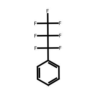 FC(F)(F)C(F)(F)C(F)(F)c1cc[c]cc1